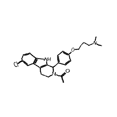 CC(=O)N1CCc2c([nH]c3ccc(Cl)cc23)C1c1ccc(OCCCN(C)C)cc1